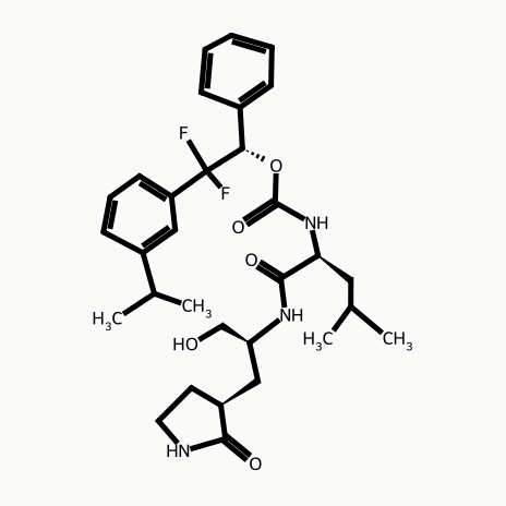 CC(C)C[C@H](NC(=O)O[C@@H](c1ccccc1)C(F)(F)c1cccc(C(C)C)c1)C(=O)N[C@H](CO)C[C@@H]1CCNC1=O